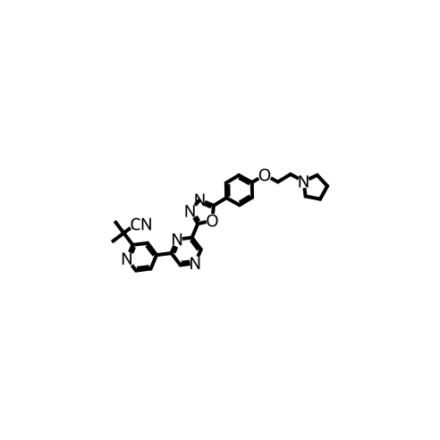 CC(C)(C#N)c1cc(-c2cncc(-c3nnc(-c4ccc(OCCN5CCCC5)cc4)o3)n2)ccn1